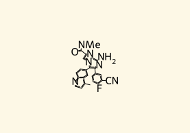 CNC(=O)c1cn2c(-c3ccc4nccc(C)c4c3)c(-c3ccc(F)c(C#N)c3)nc(N)c2n1